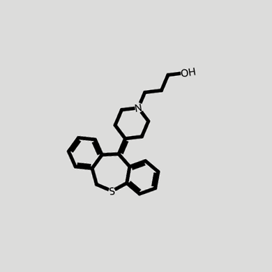 OCCCN1CCC(=C2c3ccccc3CSc3ccccc32)CC1